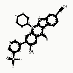 C#Cc1ccc2c(c1)[nH]c1c2c(=O)c2cc(C)c(-c3cncc(S(=O)(=O)F)c3)cc2n1C1CCCCC1